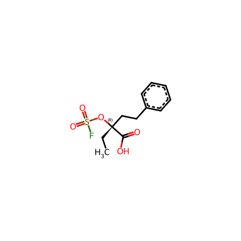 CC[C@](CCc1ccccc1)(OS(=O)(=O)F)C(=O)O